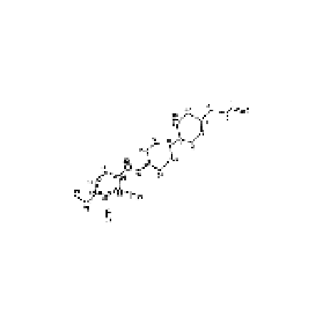 C=CCCC1CCC(C2CCC(COc3ccc(OC)c(F)c3F)CC2)OC1